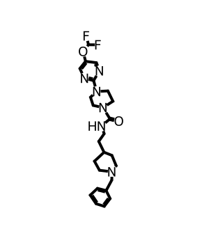 O=C(NCCC1CCN(Cc2ccccc2)CC1)N1CCN(c2ncc(OC(F)F)cn2)CC1